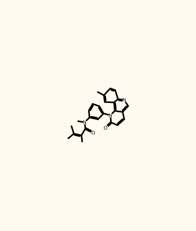 CC(C)=C(C)C(=O)N(C)c1cccc(-n2c(=O)ccc3cnc4ccc(C)cc4c32)c1